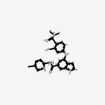 Cc1ccc(NC(=O)c2cc(Oc3ccc(C(=O)N(C)C)c(F)c3)c3ccsc3c2)nc1